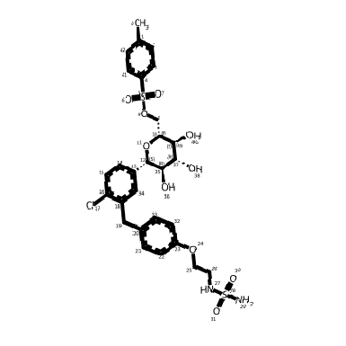 Cc1ccc(S(=O)(=O)OC[C@H]2O[C@@H](c3ccc(Cl)c(Cc4ccc(OCCNS(N)(=O)=O)cc4)c3)[C@H](O)[C@@H](O)[C@@H]2O)cc1